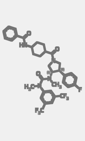 CN(C(=O)N(C)[C@@H]1CN(C(=O)C2CCC(NC(=O)c3ccccc3)CC2)C[C@H]1c1ccc(F)cc1)c1cc(C(F)(F)F)cc(C(F)(F)F)c1